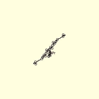 C=CC(=O)OCCCCCCOc1ccc(OC(=O)C2CCC(C(=O)Oc3ccc(OC(=O)C4CCC(C(=O)Oc5ccc(OCCCCCCOC(=O)C=C)cc5)CC4)c(/C=N/N(c4nc5ccccc5s4)C(C)C)c3)CC2)cc1